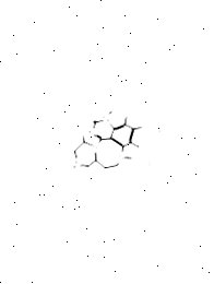 Cc1c(F)c2c3c(nc(=O)n(I)c3c1Cl)N1C(C)CN(C)CC1CCN2C